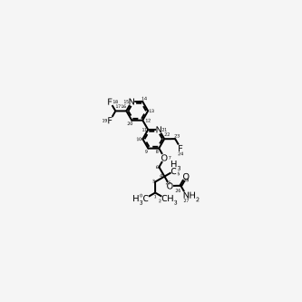 CC(C)CC(C)(COc1ccc(-c2ccnc(C(F)F)c2)nc1CF)OC(N)=O